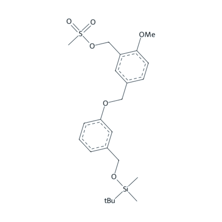 COc1ccc(COc2cccc(CO[Si](C)(C)C(C)(C)C)c2)cc1COS(C)(=O)=O